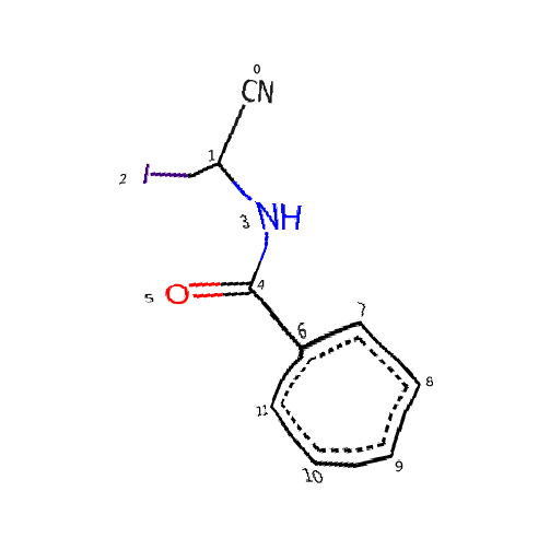 N#CC(I)NC(=O)c1ccccc1